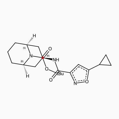 CC(C)(C)OC(=O)N1[C@@H]2CCC[C@H]1C[C@@H](NC(=O)c1cc(C3CC3)on1)C2